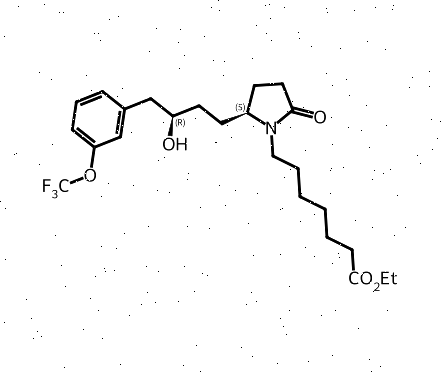 CCOC(=O)CCCCCCN1C(=O)CC[C@@H]1CC[C@@H](O)Cc1cccc(OC(F)(F)F)c1